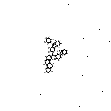 CSc1c(-c2ccccc2)cccc1N(c1ccc2ccc3c4ccccc4ccc3c2c1)c1ccc2c(c1)c1ccccc1n2-c1ccccc1